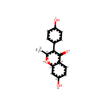 O=c1c(-c2ccc(O)cc2)c(C(F)(F)F)oc2cc(O)ccc12